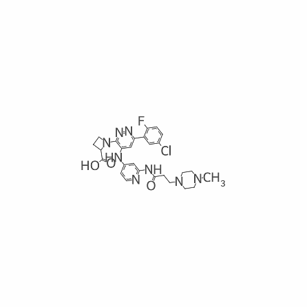 CN1CCN(CCC(=O)Nc2cc(Nc3cc(-c4cc(Cl)ccc4F)nnc3N3CCC3C(=O)O)ccn2)CC1